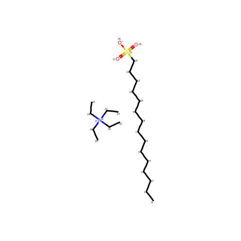 CCCCCCCCCCCCCCCS(=O)(=O)[O-].CC[N+](CC)(CC)CC